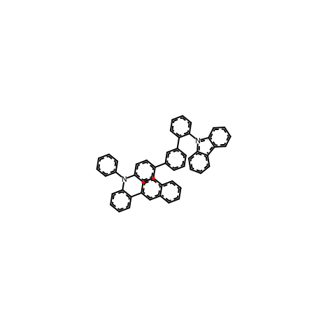 c1ccc(N(c2ccc(-c3cccc(-c4ccccc4-n4c5ccccc5c5ccccc54)c3)cc2)c2ccccc2-c2ccc3ccccc3c2)cc1